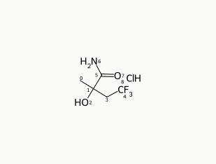 CC(O)(CC(F)(F)F)C(N)=O.Cl